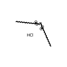 CCCCCCCCC=CCCCCCCCC(=O)OCCN(C)CCOC(=O)CCCCCCCC=CCCCCCCCC.Cl